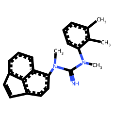 Cc1cccc(N(C)C(=N)N(C)c2ccc3c4c(cccc24)C=C3)c1C